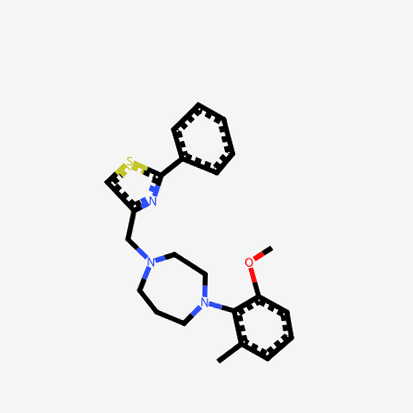 COc1cccc(C)c1N1CCCN(Cc2csc(-c3ccccc3)n2)CC1